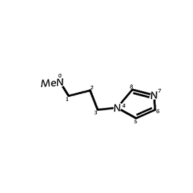 CNCCCn1ccnc1